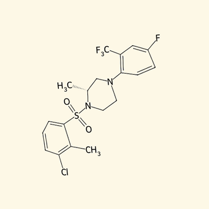 Cc1c(Cl)cccc1S(=O)(=O)N1CCN(c2ccc(F)cc2C(F)(F)F)C[C@H]1C